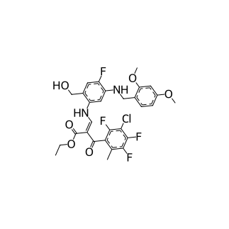 CCOC(=O)/C(=C\Nc1cc(NCc2ccc(OC)cc2OC)c(F)cc1CO)C(=O)c1c(C)c(F)c(F)c(Cl)c1F